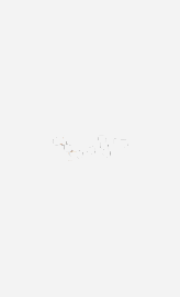 c1ccc2cc(-c3c4ccccc4c(-c4ccc(-c5ccc6sc7cc8c(cc7c6c5)sc5ccccc58)cc4)c4ccccc34)ccc2c1